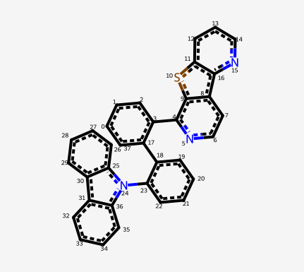 c1ccc(-c2nccc3c2sc2cccnc23)c(-c2ccccc2-n2c3ccccc3c3ccccc32)c1